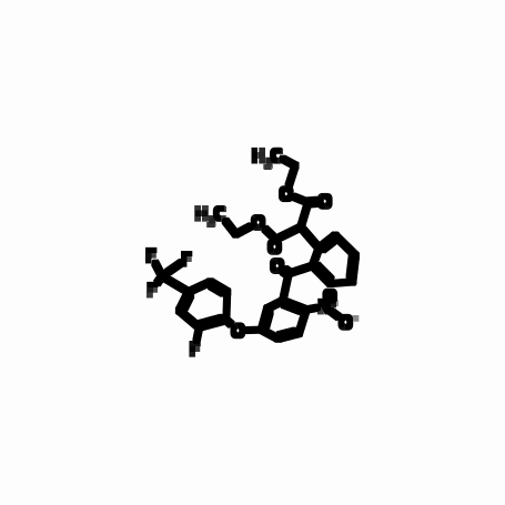 CCOC(=O)C(C(=O)OCC)c1ccccc1C(=O)c1cc(Oc2ccc(C(F)(F)F)cc2F)ccc1[N+](=O)[O-]